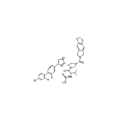 COC(=O)N[C@H](C(=O)N1CN(C(=O)N2Cc3cc4c(cc3C2)OCO4)C[C@H]1c1nc(-c2ccc(-c3ccc(Br)cc3F)c(F)c2)c[nH]1)C(C)C